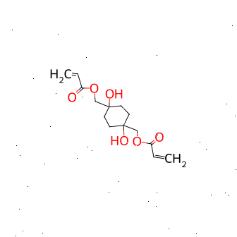 C=CC(=O)OCC1(O)CCC(O)(COC(=O)C=C)CC1